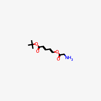 CC(C)(C)OC(=O)C=CC=COC(=O)CN